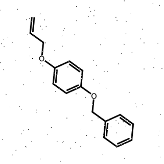 C=CCOc1ccc(OCc2ccccc2)cc1